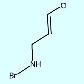 ClC=CCNBr